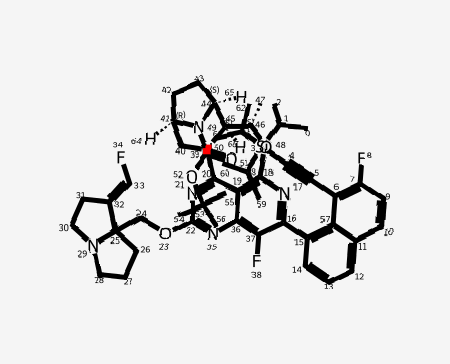 CC(C)[Si](C#Cc1c(F)ccc2cccc(-c3nc4c5c(nc(OCC67CCCN6CCC7=CF)nc5c3F)N3C[C@H]5CC[C@@H]([C@H]3[C@H](C)O4)N5C(=O)OC(C)(C)C)c12)(C(C)C)C(C)C